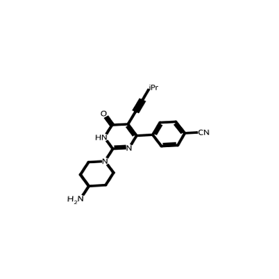 CC(C)C#Cc1c(-c2ccc(C#N)cc2)nc(N2CCC(N)CC2)[nH]c1=O